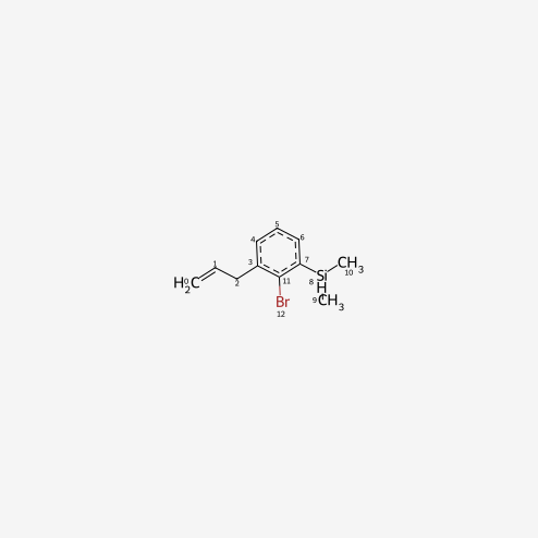 C=CCc1cccc([SiH](C)C)c1Br